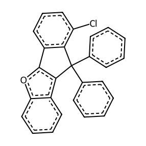 Clc1cccc2c1C(c1ccccc1)(c1ccccc1)c1c-2oc2ccccc12